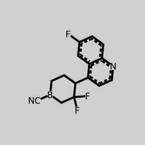 N#CB1CCC(c2ccnc3ccc(F)cc23)C(F)(F)C1